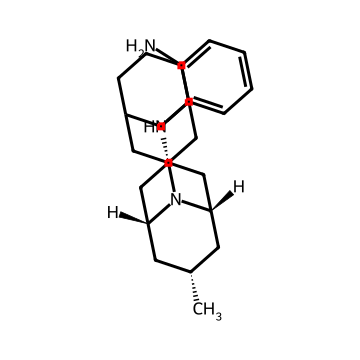 C[C@@H]1C[C@@H]2C[C@H](Nc3ccccc3N)C[C@H](C1)N2C1CC2CCCC(C2)C1